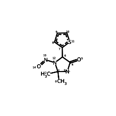 CC1(C)[N]C(=O)C(c2cccs2)N1N=O